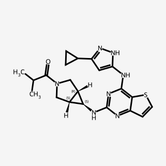 CC(C)C(=O)N1C[C@@H]2[C@H](C1)[C@H]2Nc1nc(Nc2cc(C3CC3)n[nH]2)c2sccc2n1